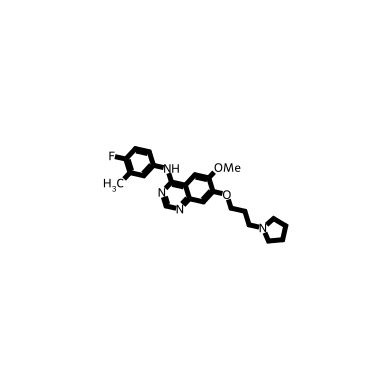 COc1cc2c(Nc3ccc(F)c(C)c3)ncnc2cc1OCCCN1CCCC1